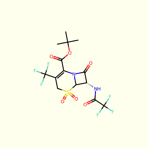 CC(C)(C)OC(=O)C1=C(C(F)(F)F)CS(=O)(=O)C2[C@@H](NC(=O)C(F)(F)F)C(=O)N12